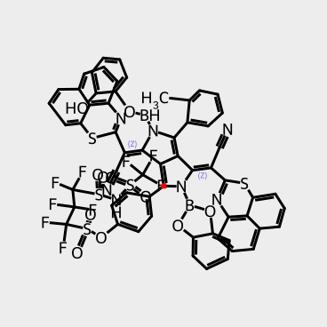 Cc1ccccc1-c1c2/c(=C(\C#N)C3=Nc4cccc5cccc(c45)S3)n(B3Oc4ccccc4O3)c(-c3ccc(OS(=O)(=O)C(F)(F)C(F)(F)C(F)(F)S(=O)(=O)NS(=O)(=O)C(F)(F)F)cc3)c2/c(=C(\C#N)C2=Nc3cccc4cccc(c34)S2)n1BOc1ccccc1O